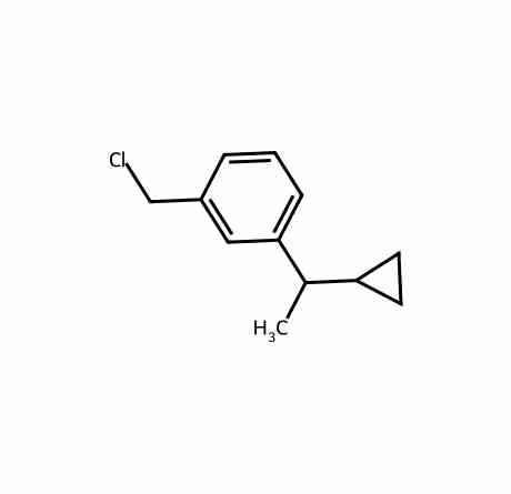 CC(c1cccc(CCl)c1)C1CC1